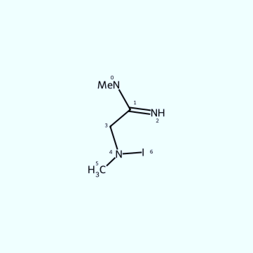 CNC(=N)CN(C)I